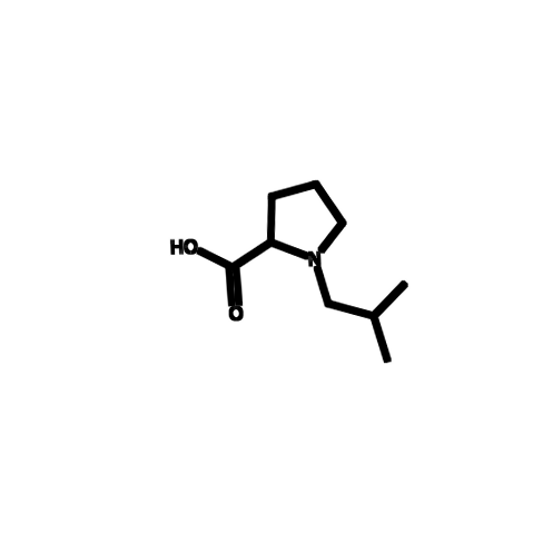 CC(C)CN1CCCC1C(=O)O